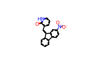 O=c1[nH]cccc1C=C1c2ccccc2-c2ccc([N+](=O)[O-])cc21